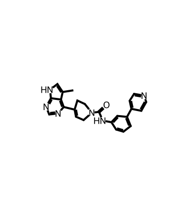 Cc1c[nH]c2ncnc(C3=CCN(C(=O)Nc4cccc(-c5ccncc5)c4)CC3)c12